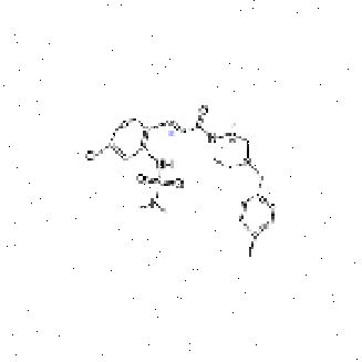 C[C@@H]1CN(Cc2ccc(F)cc2)CCN1C(=O)/C=C/c1ccc(Cl)cc1NS(=O)(=O)N(C)C